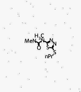 CCCSc1nnc(N(C)C(=O)NC)s1